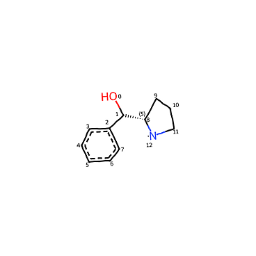 OC(c1ccccc1)[C@@H]1CCC[N]1